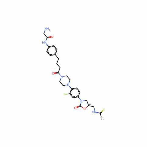 CCC(=S)NC[C@@H]1CN(c2ccc(N3CCN(C(=O)CCCc4ccc(NC(=O)CN)cc4)CC3)c(F)c2)C(=O)O1